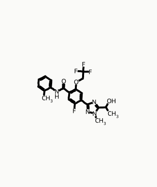 Cc1ccccc1NC(=O)c1cc(F)c(-c2nc(C(C)O)n(C)n2)cc1OCC(F)(F)F